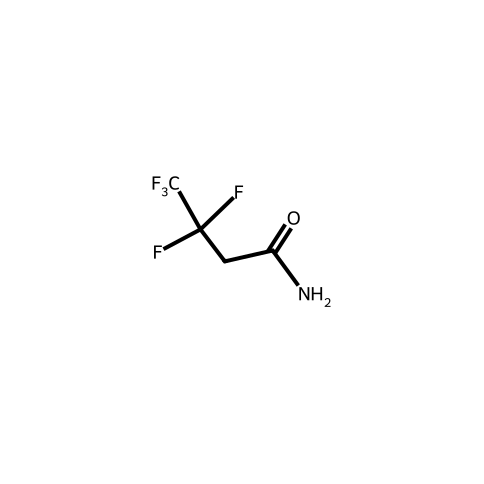 NC(=O)CC(F)(F)C(F)(F)F